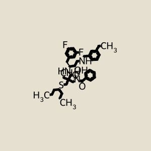 CCCC(CCC)SCC(CC)(CNC(=O)c1ccccc1)C(=O)N[C@@H](Cc1cc(F)cc(F)c1)[C@H](O)CNCc1cccc(CC)c1